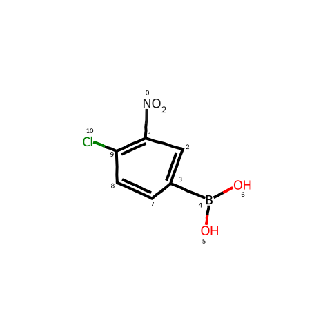 O=[N+]([O-])c1cc(B(O)O)ccc1Cl